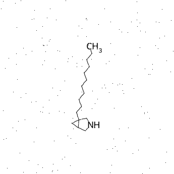 CCCCCCCCCCCC12CNCC1C2